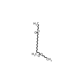 CCCCCOC(=O)CCCCCCCCCCCCC(C)CC(=O)OCCCCC